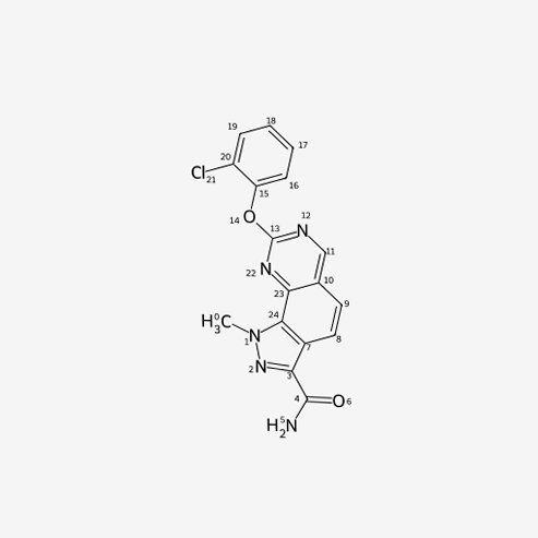 Cn1nc(C(N)=O)c2ccc3cnc(Oc4ccccc4Cl)nc3c21